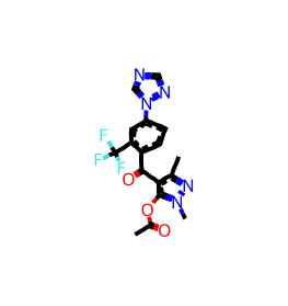 CC(=O)Oc1c(C(=O)c2ccc(-n3cncn3)cc2C(F)(F)F)c(C)nn1C